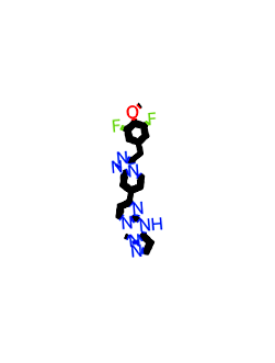 COc1c(F)cc(Cc2nnc3cc(-c4ccnc(Nc5ccnn5C)n4)ccn23)cc1F